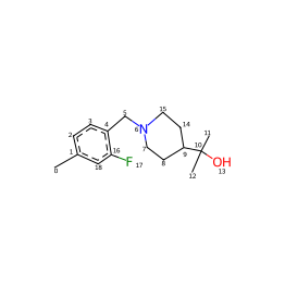 Cc1ccc(CN2CCC(C(C)(C)O)CC2)c(F)c1